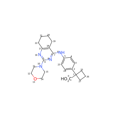 O=C(O)C1(c2ccc(Nc3nc(N4CCOCC4)nc4c3CCCC4)cc2)CCC1